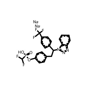 O=P(O)(Oc1ccc(CC(c2ccc(C(F)(F)F)cc2)n2nnc3ccccc32)cc1)C(F)F.[Na].[Na]